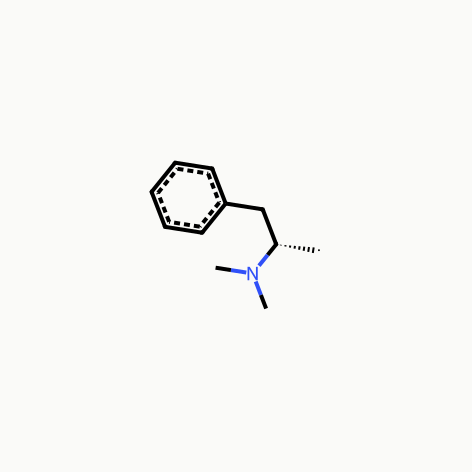 [CH2][C@@H](Cc1ccccc1)N(C)C